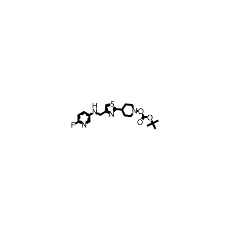 CC(C)(C)OC(=O)ON1CCC(c2nc(CNc3ccc(F)nc3)cs2)CC1